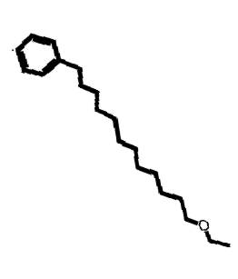 CCOCCCCCCCCCCCCc1cc[c]cc1